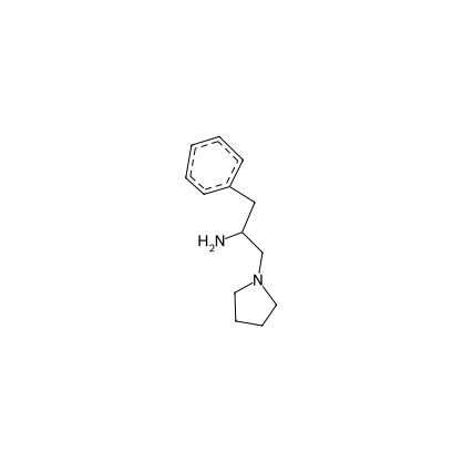 NC(Cc1ccccc1)CN1CCCC1